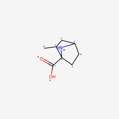 CC1CC2CCC1(C(=O)O)N2